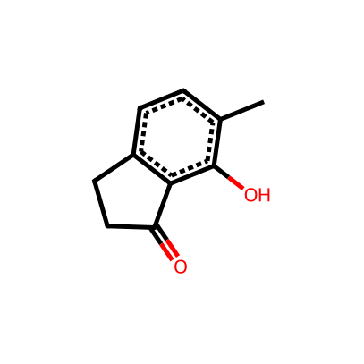 Cc1ccc2c(c1O)C(=O)CC2